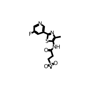 Cc1nc(-c2cncc(F)c2)sc1NC(=O)CCS(C)(=O)=O